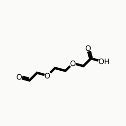 O=CCOCCOCC(=O)O